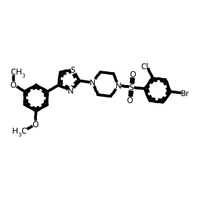 COc1cc(OC)cc(-c2csc(N3CCN(S(=O)(=O)c4ccc(Br)cc4Cl)CC3)n2)c1